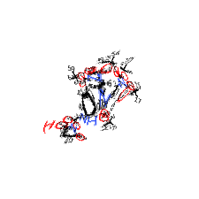 C[C@@H](CN(C(=O)OC(C)(C)C)C(=O)OC(C)(C)C)N(COOC(C)(C)C)[C@H](Cc1ccc(NCC(=O)ON2C(=O)CC[C@@H]2O)cc1)CN(C(=O)OC(C)(C)C)C(=O)OC(C)(C)C